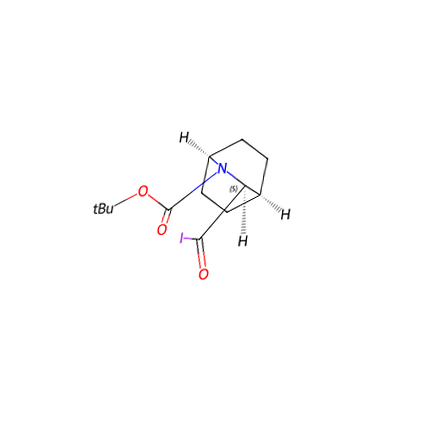 CC(C)(C)OC(=O)N1[C@H]2CC[C@H](CC2)[C@H]1C(=O)I